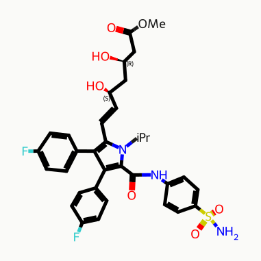 COC(=O)C[C@H](O)C[C@H](O)C=Cc1c(-c2ccc(F)cc2)c(-c2ccc(F)cc2)c(C(=O)Nc2ccc(S(N)(=O)=O)cc2)n1C(C)C